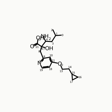 CC(C)CC(N)C(O)(Cc1cc(OCCC2CC2)ccn1)C(=O)O